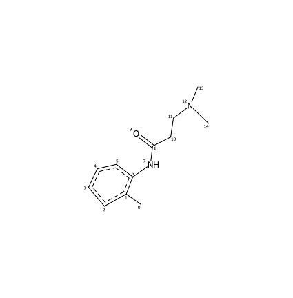 Cc1ccccc1NC(=O)CCN(C)C